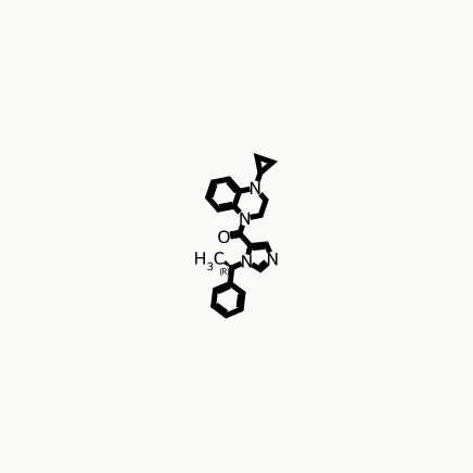 C[C@H](c1ccccc1)n1cncc1C(=O)N1CCN(C2CC2)c2ccccc21